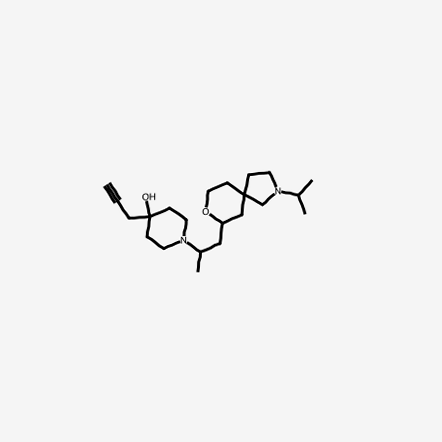 C#CCC1(O)CCN(C(C)CC2CC3(CCO2)CCN(C(C)C)C3)CC1